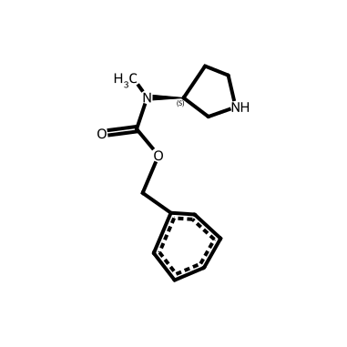 CN(C(=O)OCc1ccccc1)[C@H]1CCNC1